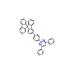 c1ccc(-c2cc(-c3ccccc3)nc(-c3ccc(-c4ccc5c(c4)-c4ccccc4C54c5ccccc5-c5ccccc54)cc3)n2)cc1